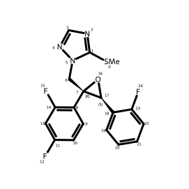 CSc1ncnn1C[C@@]1(c2ccc(F)cc2F)O[C@H]1c1ccccc1F